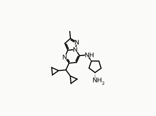 Cc1cc2nc(C(C3CC3)C3CC3)cc(N[C@H]3CC[C@H](N)C3)n2n1